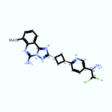 COc1cccc2c1nc(N)n1nc([C@H]3C[C@H](c4ccc([C@@H](N)C(F)F)cn4)C3)nc21